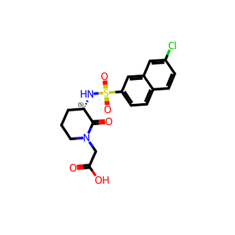 O=C(O)CN1CCC[C@H](NS(=O)(=O)c2ccc3ccc(Cl)cc3c2)C1=O